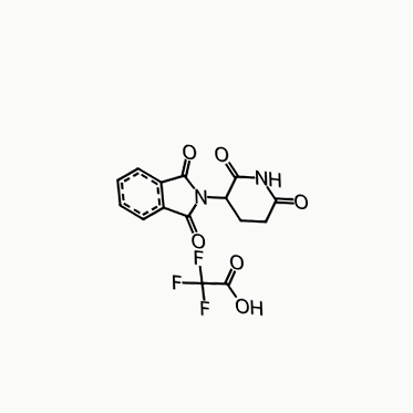 O=C(O)C(F)(F)F.O=C1CCC(N2C(=O)c3ccccc3C2=O)C(=O)N1